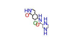 O=C(Nc1cc2cc[nH]c(=O)c2cc1Cl)C1CNCCN1